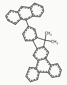 CC1(C)c2cc(-c3c4ccccc4cc4ccccc34)ccc2-c2cc3c4ccccc4c4ccccc4c3cc21